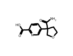 NC(=O)C1(c2ccc(C(=O)O)nc2)CCOC1